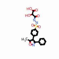 Cc1onc(-c2ccccc2)c1-c1ccc(S(=O)(=O)N=NC(=O)C(O)C(=O)O)cc1